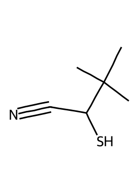 CC(C)(C)C(S)C#N